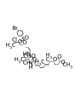 COC1CC[C@@H]([C@@H](C)/C=C(C)/C=C\C=C\C(=O)N[C@H](C(=O)N/C=C\C[C@H](C/C=C(\C)Cl)OS(=O)(=O)c2ccc(Br)cc2)C(C)(C)C)OC1=O